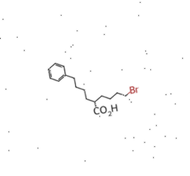 O=C(O)C(CCCCBr)CCCCc1ccccc1